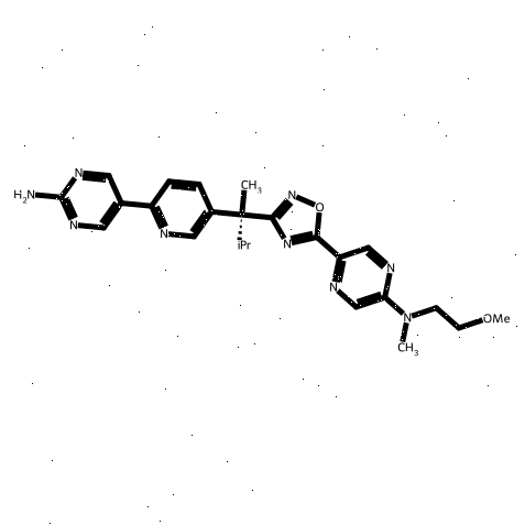 COCCN(C)c1cnc(-c2nc([C@](C)(c3ccc(-c4cnc(N)nc4)nc3)C(C)C)no2)cn1